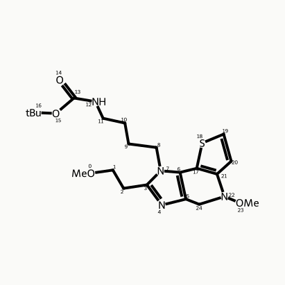 COCCc1nc2c(n1CCCCNC(=O)OC(C)(C)C)-c1sccc1N(OC)C2